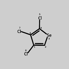 Clc1c[se]c(Cl)c1Cl